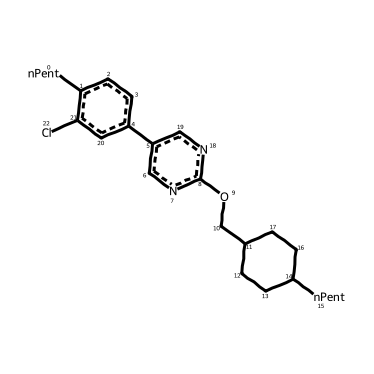 CCCCCc1ccc(-c2cnc(OCC3CCC(CCCCC)CC3)nc2)cc1Cl